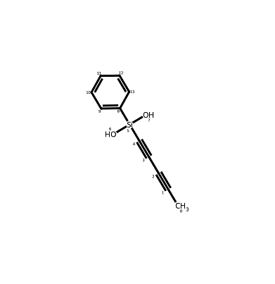 CC#CC#C[Si](O)(O)c1ccccc1